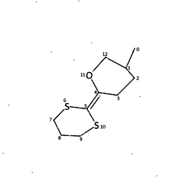 CC1CCC(=C2SCCCS2)OC1